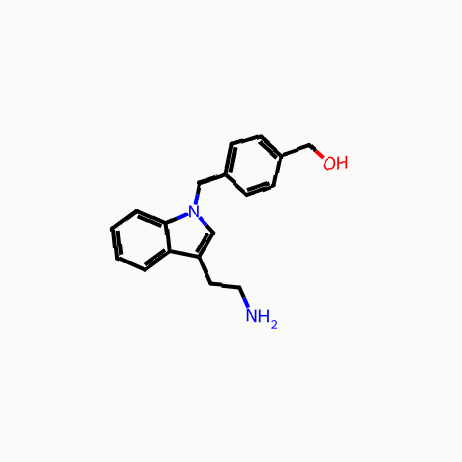 NCCc1cn(Cc2ccc(CO)cc2)c2ccccc12